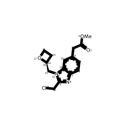 COC(=O)Cc1ccc2nc(CCl)n(C[C@@H]3CCO3)c2c1